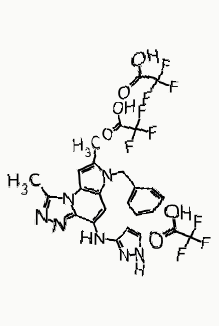 Cc1cc2c(cc(Nc3cc[nH]n3)c3nnc(C)n32)n1Cc1ccccc1.O=C(O)C(F)(F)F.O=C(O)C(F)(F)F.O=C(O)C(F)(F)F